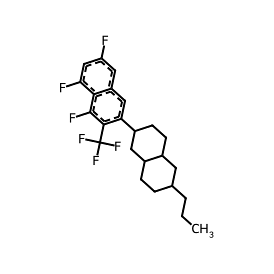 CCCC1CCC2CC(c3cc4cc(F)cc(F)c4c(F)c3C(F)(F)F)CCC2C1